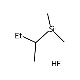 CCC(C)[Si](C)C.F